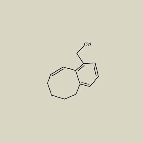 OCc1cccc2c1/C=C\CCCC2